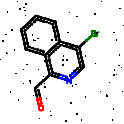 O=Cc1ncc(Br)c2ccccc12